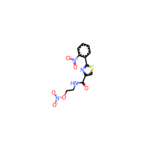 O=C(NCCO[N+](=O)[O-])c1csc(-c2ccccc2[N+](=O)[O-])n1